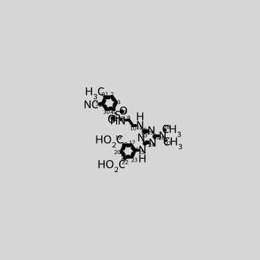 Cc1ccc(S(=O)(=O)NCCNc2nc(Nc3cc(C(=O)O)cc(C(=O)O)c3)nc(N(C)C)n2)cc1C#N